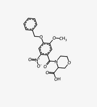 COc1cc(C(=O)N2CCOCC2C(=O)O)c([N+](=O)[O-])cc1OCc1ccccc1